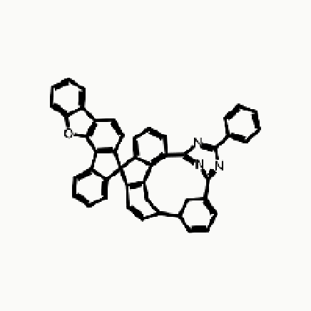 C1=CC2CC(=C1)c1nc(-c3ccccc3)nc(n1)-c1cccc3c1C1=C(C=CC2C1)C31c2ccccc2-c2c1ccc1c2oc2ccccc21